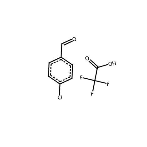 O=C(O)C(F)(F)F.O=Cc1ccc(Cl)cc1